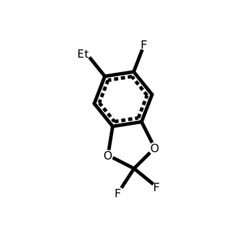 CCc1cc2c(cc1F)OC(F)(F)O2